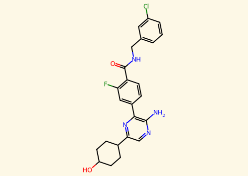 Nc1ncc(C2CCC(O)CC2)nc1-c1ccc(C(=O)NCc2cccc(Cl)c2)c(F)c1